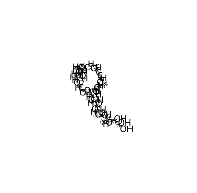 C[C@@H]1[C@H]2OC(=O)C[C@H]3CC[C@@H]4O[C@@H]5[C@H]6O[C@@H]7C[C@](CC[C@H]8C[C@@H](C)[C@H](CC[C@H]9C[C@@H](C)[C@H](C)[C@@H](C[C@@H]2O[C@H]2C[C@H]%10O[C@@]%11(C[C@@H]%12O[C@]%13(C[C@H](C)[C@@H]%14O[C@H]([C@@H](O)C[C@@H](O)CO)C[C@@H]%14O%13)C[C@H](C)[C@@H]%12O%11)C[C@H]%10O[C@@H]12)O9)O8)(O[C@H]6[C@H]4O3)O[C@@H]57